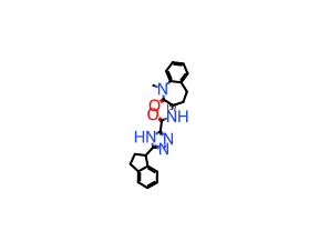 CN1C(=O)[C@@H](NC(=O)c2nnc(C3CCc4ccccc43)[nH]2)CCc2ccccc21